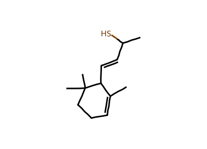 CC1=CCCC(C)(C)C1C=CC(C)S